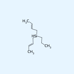 CC=CC[SiH](CC=CC)CCC